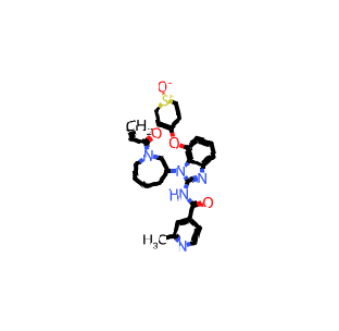 C=CC(=O)N1CCCCC(n2c(NC(=O)c3ccnc(C)c3)nc3cccc(OC4CC[S+]([O-])CC4)c32)C1